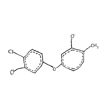 Cc1ccc(Oc2ccc(Cl)c(Cl)c2)cc1Cl